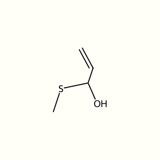 C=CC(O)SC